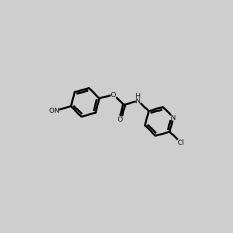 O=Nc1ccc(OC(=O)Nc2ccc(Cl)nc2)cc1